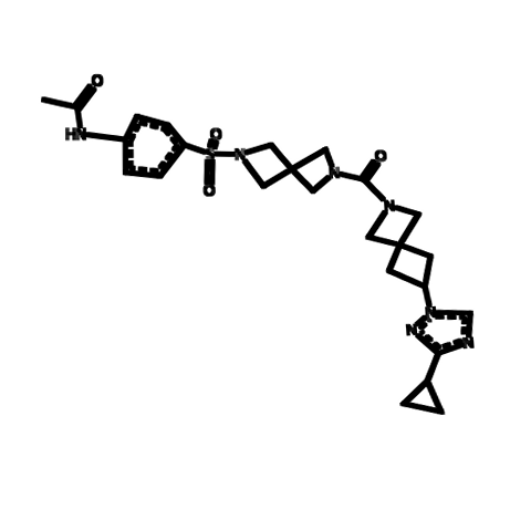 CC(=O)Nc1ccc(S(=O)(=O)N2CC3(CN(C(=O)N4CC5(CC(n6cnc(C7CC7)n6)C5)C4)C3)C2)cc1